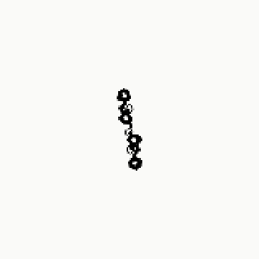 c1ccc(-c2cc3ccc(COc4ccc5cc(-c6ccccc6)oc5c4)cc3o2)cc1